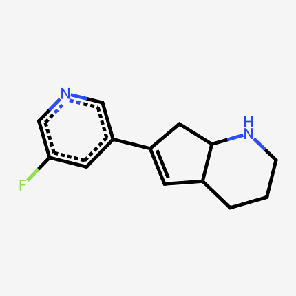 Fc1cncc(C2=CC3CCCNC3C2)c1